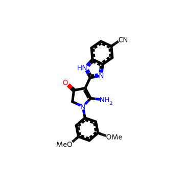 COc1cc(OC)cc(N2CC(=O)C(c3nc4cc(C#N)ccc4[nH]3)=C2N)c1